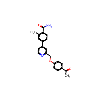 CC(=O)c1ccc(OCc2cc(-c3ccc(C(N)=O)c(C)c3)ccn2)cc1